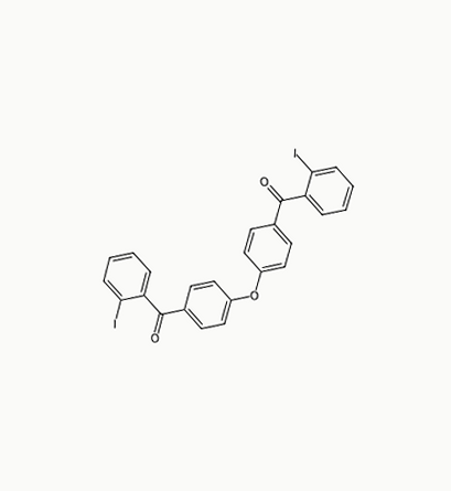 O=C(c1ccc(Oc2ccc(C(=O)c3ccccc3I)cc2)cc1)c1ccccc1I